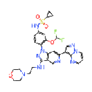 O=S(=O)(Nc1ccc(-n2nc(NCCN3CCOCC3)c3cnc(-c4cnn5cccnc45)cc32)c(OC(F)F)c1)C1CC1